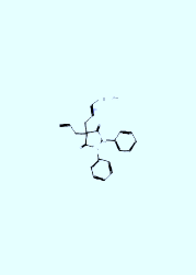 C=CCC1(C/C=C/CCCCC)C(=O)N(c2ccccc2)N(c2ccccc2)C1=O